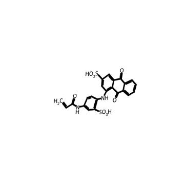 C=CC(=O)Nc1ccc(Nc2cc(S(=O)(=O)O)cc3c2C(=O)c2ccccc2C3=O)c(S(=O)(=O)O)c1